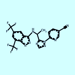 CC(Nc1snc2c(C(F)(F)F)cc(C(F)(F)F)cc12)c1ncnn1-c1ccc(C#N)cn1